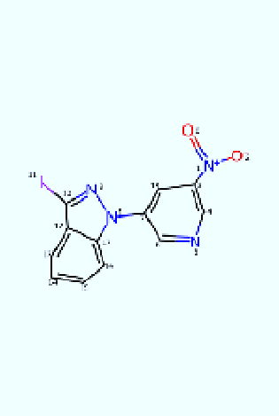 O=[N+]([O-])c1cncc(-n2nc(I)c3ccccc32)c1